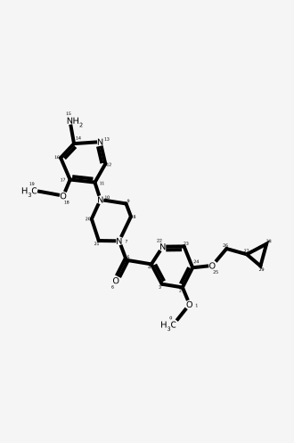 COc1cc(C(=O)N2CCN(c3cnc(N)cc3OC)CC2)ncc1OCC1CC1